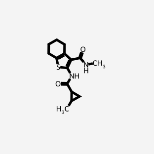 CNC(=O)c1c(NC(=O)C2CC2C)sc2c1CCCC2